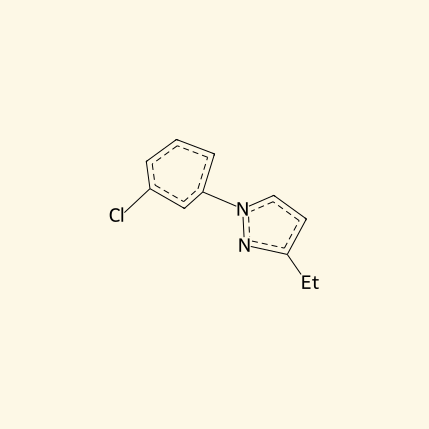 CCc1ccn(-c2cccc(Cl)c2)n1